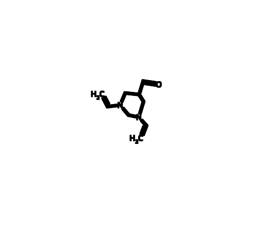 C=CN1CC(C=O)CN(C=C)C1